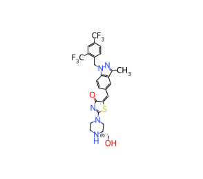 Cc1nn(Cc2ccc(C(F)(F)F)cc2C(F)(F)F)c2ccc(C=C3SC(N4CCN[C@@H](CO)C4)=NC3=O)cc12